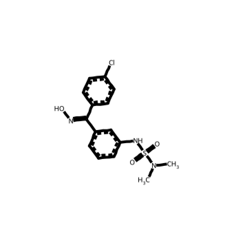 CN(C)S(=O)(=O)Nc1cccc(C(=NO)c2ccc(Cl)cc2)c1